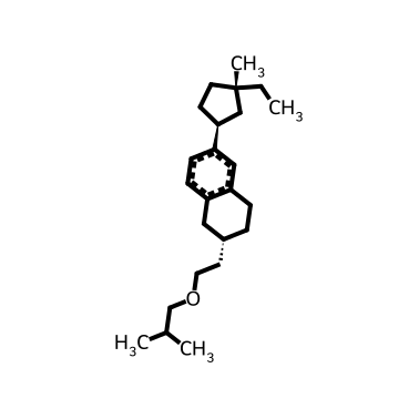 CC[C@@]1(C)CC[C@H](c2ccc3c(c2)CC[C@H](CCOCC(C)C)C3)C1